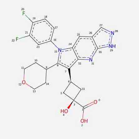 O=C(O)[C@]1(O)C[C@@H](c2c(C3CCOCC3)n(-c3ccc(F)c(F)c3)c3cc4cn[nH]c4nc32)C1